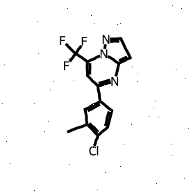 Cc1cc(-c2cc(C(F)(F)F)n3nccc3n2)ccc1Cl